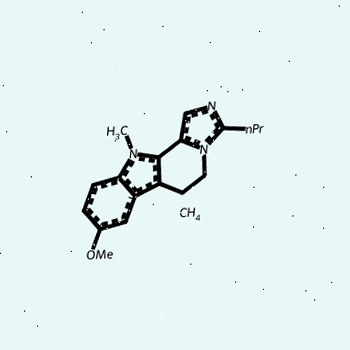 C.CCCc1ncc2n1CCc1c-2n(C)c2ccc(OC)cc12